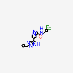 O=C(NCC1CC(F)(F)C1)c1cnn2ccc(-c3c[nH]c4nc(CC5CCC5)ncc34)cc12